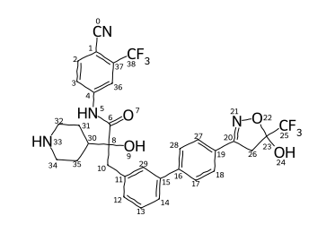 N#Cc1ccc(NC(=O)C(O)(Cc2cccc(-c3ccc(C4=NOC(O)(C(F)(F)F)C4)cc3)c2)C2CCNCC2)cc1C(F)(F)F